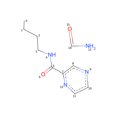 CCCCNC(=O)c1cnccn1.NC=O